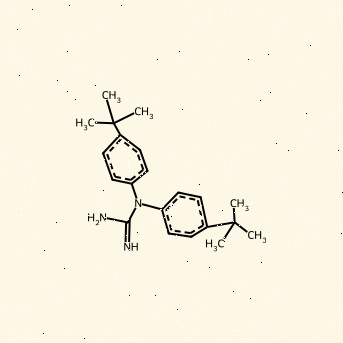 CC(C)(C)c1ccc(N(C(=N)N)c2ccc(C(C)(C)C)cc2)cc1